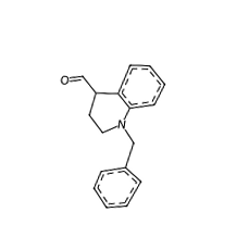 O=CC1CCN(Cc2ccccc2)c2ccccc21